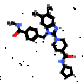 CNC(=O)c1ccc(Cn2c(N3CCC(C(=O)NC4CCCC4)CC3)nc3cc(C)c(C)cc32)cc1